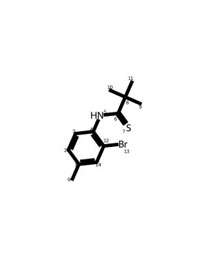 Cc1ccc(NC(=S)C(C)(C)C)c(Br)c1